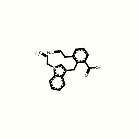 C=CCc1cccc(C(=O)O)c1Cc1cn(CC=C)c2ccccc12